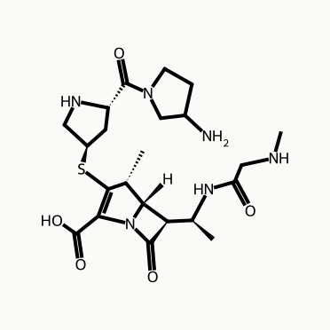 CNCC(=O)N[C@@H](C)[C@H]1C(=O)N2C(C(=O)O)=C(S[C@H]3CN[C@H](C(=O)N4CCC(N)C4)C3)[C@H](C)[C@H]12